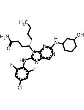 CCCC[C@@H](CCC(N)=O)n1c(Nc2c(F)cc(Cl)cc2Cl)nc2cnc(N[C@@H]3CCC[C@H](O)C3)nc21